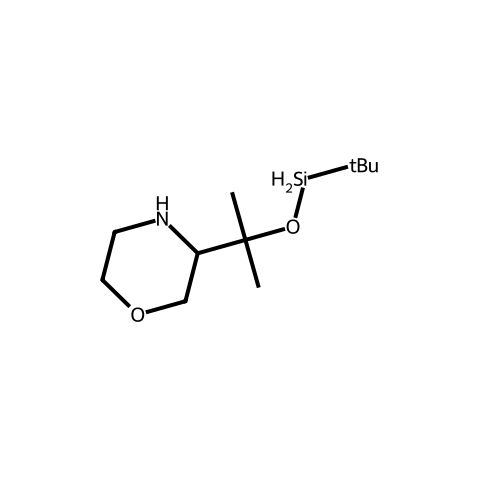 CC(C)(C)[SiH2]OC(C)(C)C1COCCN1